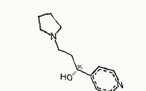 O[C@H](CCN1CCCC1)c1ccncc1